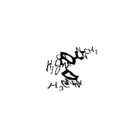 Cc1ncc(-c2ccc3c(c2)N(c2ccc4nnn(C)c4c2)C(=O)C3(C)C)cn1